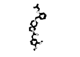 COc1ccc(CC(=O)N2CCC3(CCN(Cc4ccccc4OCC(C)C)CC3)C2)cc1OC